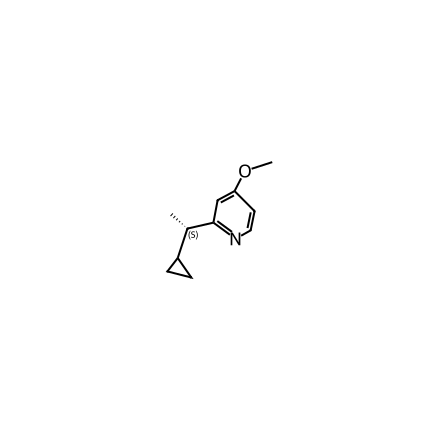 COc1ccnc([C@@H](C)C2CC2)c1